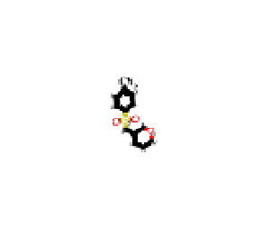 Cc1ccc(S(=O)(=O)CC2CCCOC2)cc1